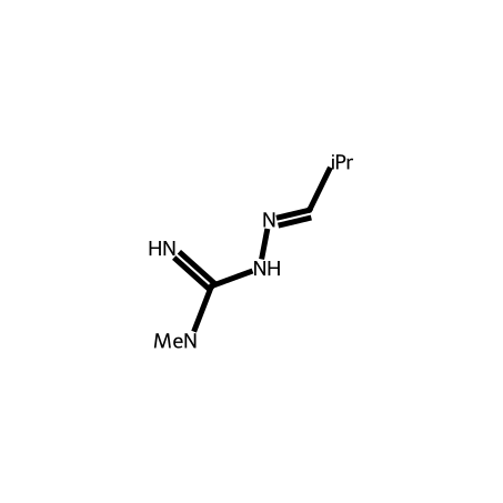 CNC(=N)N/N=C/C(C)C